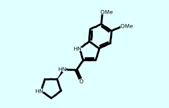 COc1cc2cc(C(=O)N[C@H]3CCNC3)[nH]c2cc1OC